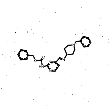 O=C(Nc1nccc(C=NC2CCN(Cc3ccccc3)CC2)n1)OCc1ccccc1